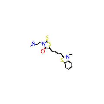 CCN1/C(=C/C=C/C=C2\SC(=S)N(CCN(C)C)C2=O)Sc2ccccc21